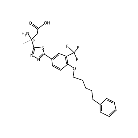 C[C@](N)(CC(=O)O)c1nnc(-c2ccc(OCCCCCc3ccccc3)c(C(F)(F)F)c2)s1